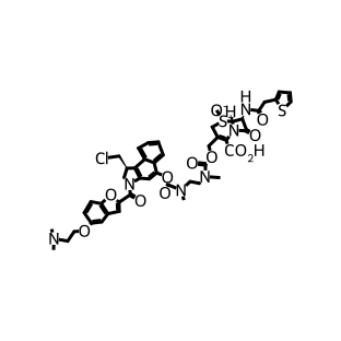 CN(C)CCOc1ccc2oc(C(=O)N3C[C@@H](CCl)c4c3cc(OC(=O)N(C)CCN(C)C(=O)OCC3=C(C(=O)O)N5C(=O)[C@@H](NC(=O)Cc6cccs6)[C@H]5[S+]([O-])C3)c3ccccc43)cc2c1